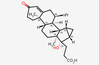 CCC[C@@H]1CC2=CC(=O)CC[C@]2(C)[C@H]2CC[C@@]3(C)[C@@H]([C@@H]4C[C@@H]4[C@@]3(O)CCC(=O)O)[C@H]12